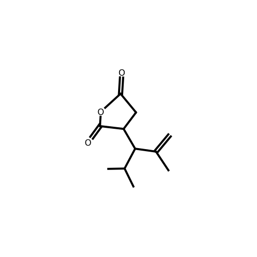 C=C(C)C(C(C)C)C1CC(=O)OC1=O